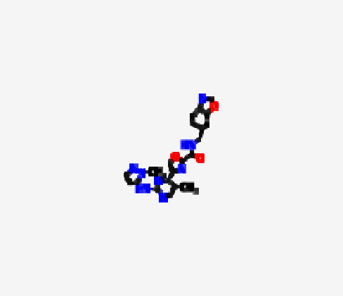 Cc1cnc(Nc2ccnn2C)nc1-c1coc(C(=O)NCc2ccc3ncoc3c2)n1